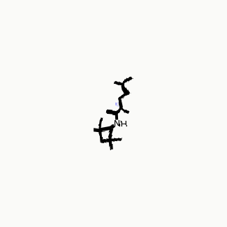 C=C(NC1C(C)(C)CC1(C)C)/C(C)=C/C=C(C)C